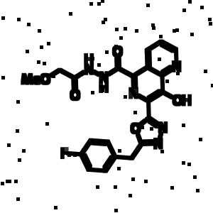 COCC(=O)NNC(=O)c1nc(-c2nnc(Cc3ccc(F)cc3)o2)c(O)c2ncccc12